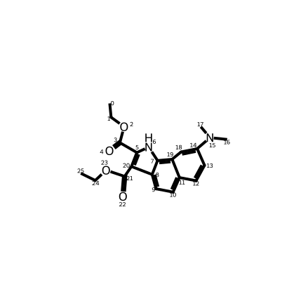 CCOC(=O)c1[nH]c2c(ccc3ccc(N(C)C)cc32)c1C(=O)OCC